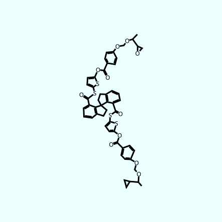 CC(OCOc1ccc(C(=O)Oc2ccc(SC(=O)c3cccc4c3C3(CC4)CCc4cccc(C(=O)Sc5ccc(OC(=O)c6ccc(OCOC(C)C7CO7)cc6)s5)c43)s2)cc1)C1CC1